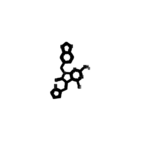 Nc1nc(Cl)c2c(n1)N(Cc1ccc3ncsc3c1)C(=O)C2=Cc1ccc[nH]1